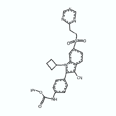 CC(C)OC(=O)Nc1ccc(-c2c(C#N)c3ccc(S(=O)(=O)CCc4ncncn4)cc3n2C2CCC2)cc1